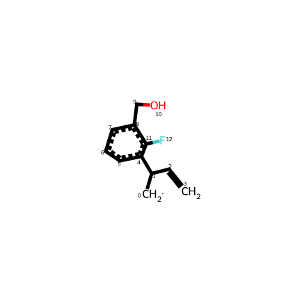 [CH2]C(C=C)c1cccc(CO)c1F